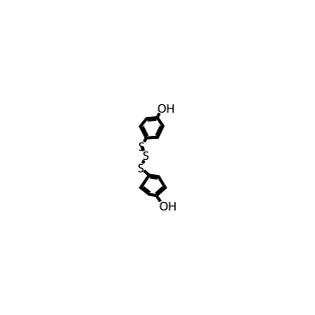 Oc1ccc(SSSc2ccc(O)cc2)cc1